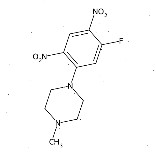 CN1CCN(c2cc(F)c([N+](=O)[O-])cc2[N+](=O)[O-])CC1